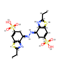 CCc1nc2c(s1)C=C(S(=O)(=O)O)CC2=NN=C1CC(S(=O)(=O)O)=Cc2sc(CC)nc21